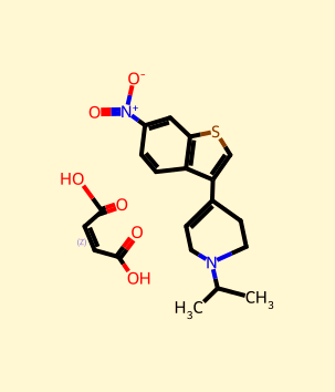 CC(C)N1CC=C(c2csc3cc([N+](=O)[O-])ccc23)CC1.O=C(O)/C=C\C(=O)O